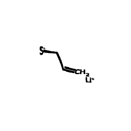 C=CC[S-].[Li+]